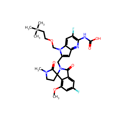 COc1cc(F)cc2c1C1(CCN(C)C1=O)N(Cc1cc3nc(NC(=O)O)c(F)cc3n1COCC[Si](C)(C)C)C2=O